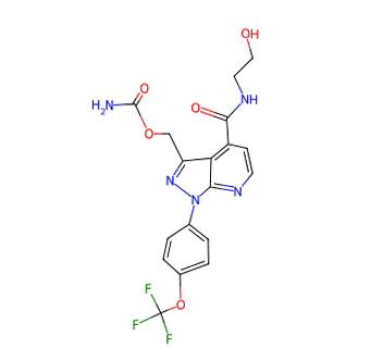 NC(=O)OCc1nn(-c2ccc(OC(F)(F)F)cc2)c2nccc(C(=O)NCCO)c12